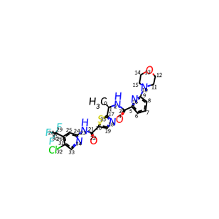 C[C@@H](NC(=O)c1cccc(N2CCOCC2)n1)c1ncc(C(=O)Nc2cc(C(F)(F)F)c(Cl)cn2)s1